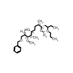 CCCOC(CC)C[C@H](OC)[C@@H](C)CC[C@@H](O)[C@H](C)[C@H](OC)[C@H](C)COCc1ccccc1